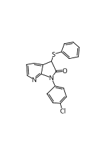 O=C1C(Sc2ccccc2)c2cccnc2N1c1ccc(Cl)cc1